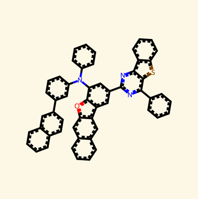 c1ccc(-c2nc(-c3cc(N(c4ccccc4)c4cccc(-c5ccc6ccccc6c5)c4)c4oc5cc6ccccc6cc5c4c3)nc3c2sc2ccccc23)cc1